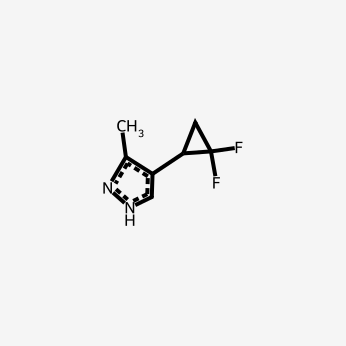 Cc1n[nH]cc1C1CC1(F)F